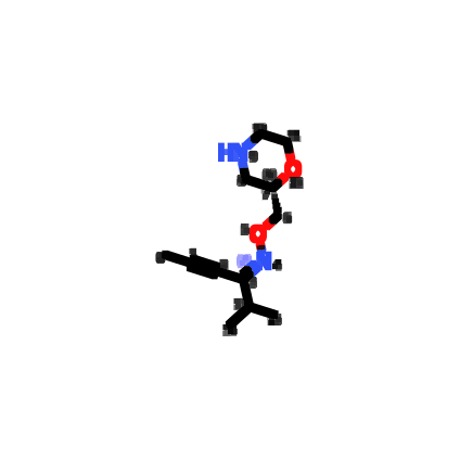 CC#C/C(=N\OC[C@@H]1CNCCO1)C(C)C